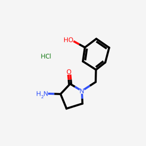 Cl.NC1CCN(Cc2cccc(O)c2)C1=O